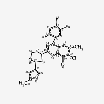 Cc1nc2c(-c3cc(F)c(F)cc3F)nc([C@@H]3CCO[C@H](c4cnn(C)c4)C3)cn2c(=O)c1Cl